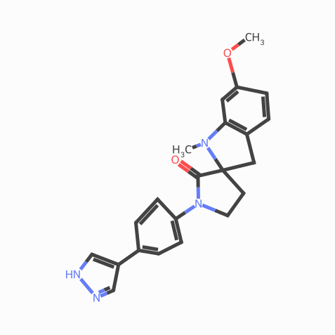 COc1ccc2c(c1)N(C)C1(CCN(c3ccc(-c4cn[nH]c4)cc3)C1=O)C2